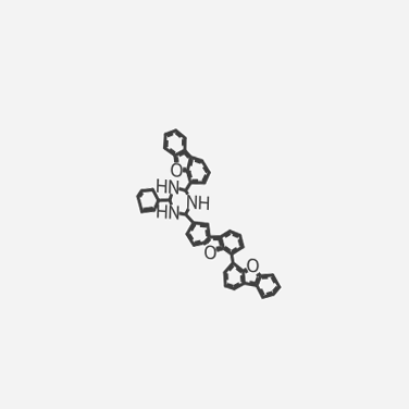 C1=CCC(C2NC(c3ccc4oc5c(-c6cccc7c6oc6ccccc67)cccc5c4c3)NC(c3cccc4c3oc3ccccc34)N2)C=C1